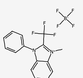 C[n+]1c(C(F)(F)F)n(-c2ccccc2)c2ccccc21.F[B-](F)(F)F